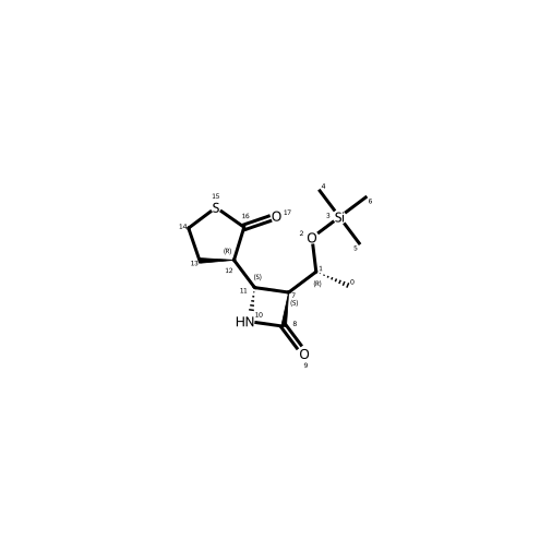 C[C@@H](O[Si](C)(C)C)[C@H]1C(=O)N[C@@H]1[C@H]1CCSC1=O